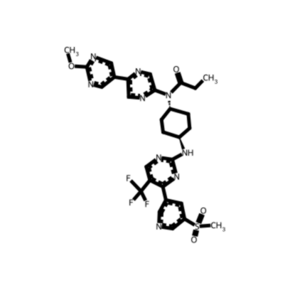 CCC(=O)N(c1cnc(-c2cnc(OC)nc2)cn1)[C@H]1CC[C@H](Nc2ncc(C(F)(F)F)c(-c3cncc(S(C)(=O)=O)c3)n2)CC1